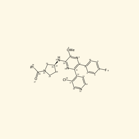 COc1nc(-c2ccc(F)cc2)c(-c2ccncc2Cl)nc1N[C@H]1CCN(C(=O)C(C)C)C1